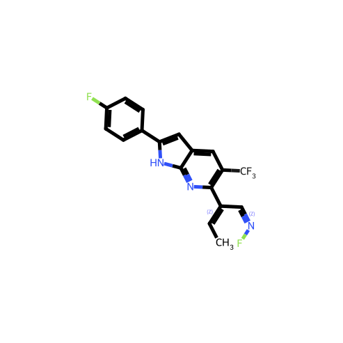 C/C=C(\C=N/F)c1nc2[nH]c(-c3ccc(F)cc3)cc2cc1C(F)(F)F